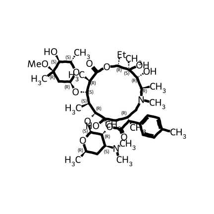 CC[C@H]1OC(=O)[C@H](C)[C@@H](O[C@H]2C[C@@](C)(OC)[C@@H](O)[C@H](C)O2)[C@H](C)[C@@H](O[C@@H]2O[C@H](C)C[C@H](N(C)C)[C@H]2OC(=O)Cc2ccc(C)cc2)[C@](C)(O)C[C@@H](C)CN(C)[C@H](C)[C@@H](O)[C@]1(C)O